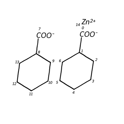 O=C([O-])C1CCCCC1.O=C([O-])C1CCCCC1.[Zn+2]